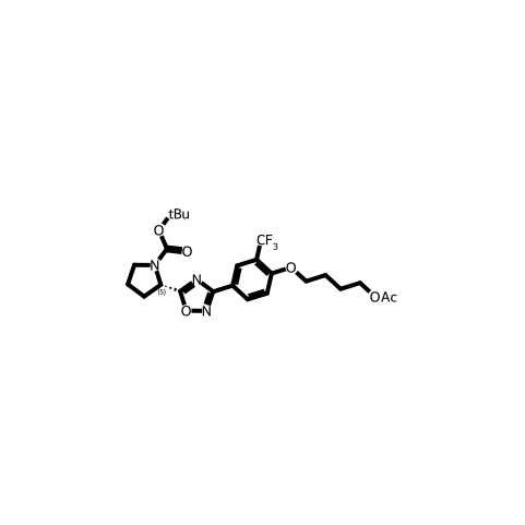 CC(=O)OCCCCOc1ccc(-c2noc([C@@H]3CCCN3C(=O)OC(C)(C)C)n2)cc1C(F)(F)F